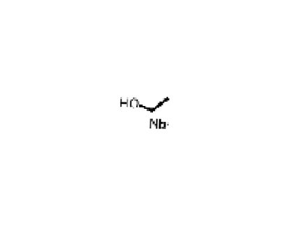 CCO.[Nb]